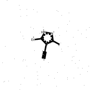 C#Cc1c(C)n[nH]c1CC